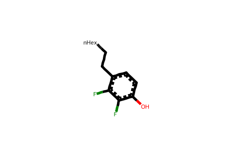 CCCCCCCCc1ccc(O)c(F)c1F